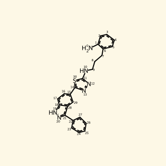 Nc1ccccc1CCCNc1nnc(-c2ccc3[nH]nc(-c4ccccc4)c3c2)s1